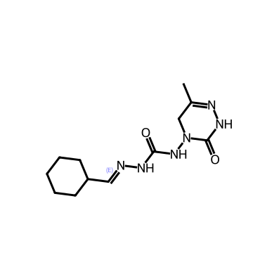 CC1=NNC(=O)N(NC(=O)N/N=C/C2CCCCC2)C1